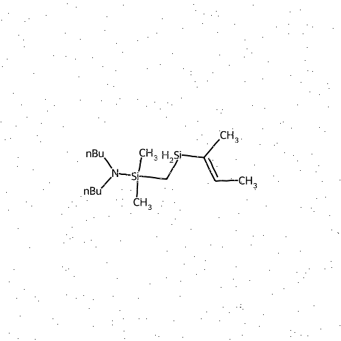 CC=C(C)[SiH2]C[Si](C)(C)N(CCCC)CCCC